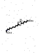 CCCCCCCC/C=C\CCCCCCCC(=O)OC(N)CCCCCCCCCCCCCC